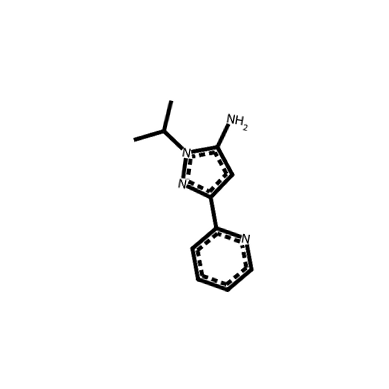 CC(C)n1nc(-c2ccccn2)cc1N